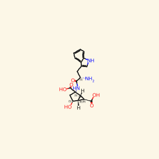 N[C@@H](Cc1c[nH]c2ccccc12)C(=O)N[C@@]1(C(=O)O)C[C@H](O)[C@H]2[C@H](C(=O)O)[C@H]21